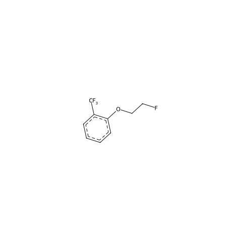 FCCOc1ccccc1C(F)(F)F